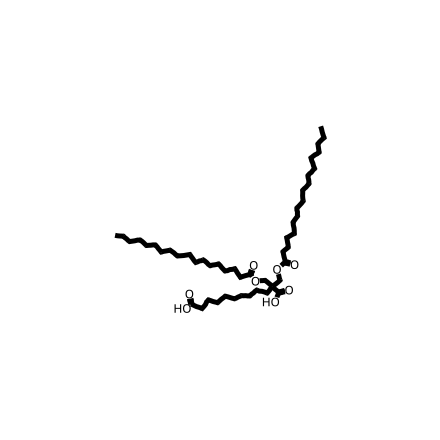 CCCCCCCCCCCCCCCCCC(=O)OCC(CCCCCCCCCC(=O)O)(COC(=O)CCCCCCCCCCCCCCCCC)C(=O)O